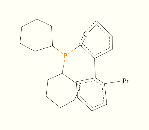 CC(C)c1ccccc1-c1ccccc1P(C1CCCCC1)C1CCCCC1